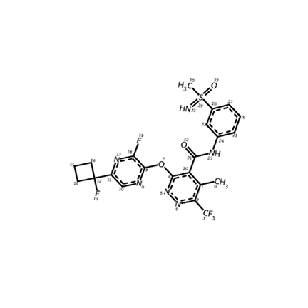 Cc1c(C(F)(F)F)nnc(Oc2ncc(C3(F)CCC3)nc2F)c1C(=O)Nc1cccc(S(C)(=N)=O)c1